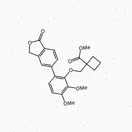 COC(=O)C1(COc2c(-c3ccc4c(c3)COC4=O)ccc(OC)c2OC)CCC1